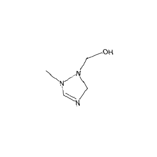 CN1C=NCN1CO